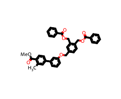 COC(=O)c1ccc(-c2cccc(OCc3ccc(COC(=O)c4ccccc4)c(COC(=O)c4ccccc4)c3)c2)cc1C